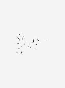 CCCCN(C(=O)c1ccc(OC)cc1)C(CC)c1nc2ccccc2c(=O)n1-c1ccccc1